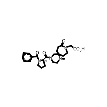 CN1CCN(C(=O)[C@H]2CCCN2C(=O)c2ccccc2)CC12CCC(=O)N(CC(=O)O)CC2